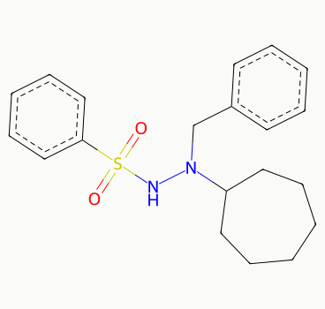 O=S(=O)(NN(Cc1ccccc1)C1CCCCCC1)c1ccccc1